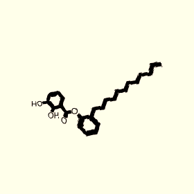 CCCCCCCCCCCCc1ccccc1OC(=O)c1cccc(O)c1O